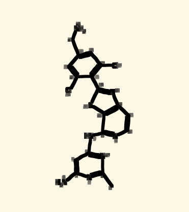 Cc1nc(N)cc(Nc2nccc3nc(-c4c(Cl)cc(CN)cc4Cl)sc23)n1